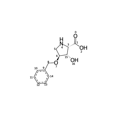 O=C(O)[C@H]1NC[C@H](OCc2ccccc2)[C@H]1O